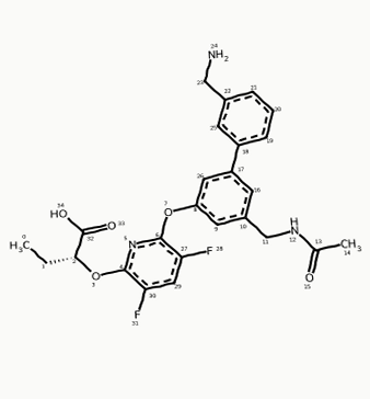 CC[C@@H](Oc1nc(Oc2cc(CNC(C)=O)cc(-c3cccc(CN)c3)c2)c(F)cc1F)C(=O)O